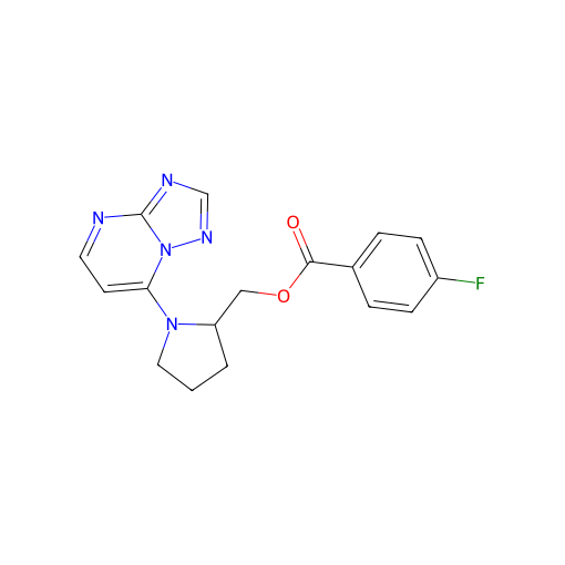 O=C(OCC1CCCN1c1ccnc2ncnn12)c1ccc(F)cc1